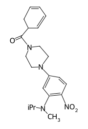 CC(C)N(C)c1cc(N2CCN(C(=O)C3C=CC=CC3)CC2)ccc1[N+](=O)[O-]